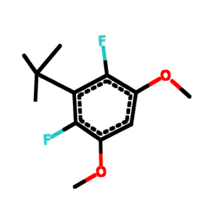 COc1cc(OC)c(F)c(C(C)(C)C)c1F